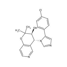 CC1(C)Oc2ccncc2[C@@H](n2cncc2-c2ccc(Cl)cc2)[C@@H]1O